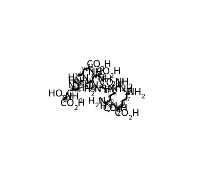 CC(C)C(N)C(=O)O.N=C(N)NCCCC(N)C(=O)O.NC(Cc1c[nH]cn1)C(=O)O.NC(Cc1c[nH]cn1)C(=O)O.NCC(=O)O.NCCCCC(N)C(=O)O.O=C(O)[C@@H]1CCCN1